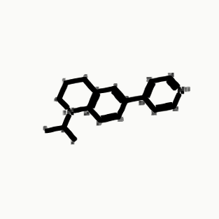 CC(C)N1CCCc2cc(-c3ccncc3)ccc21